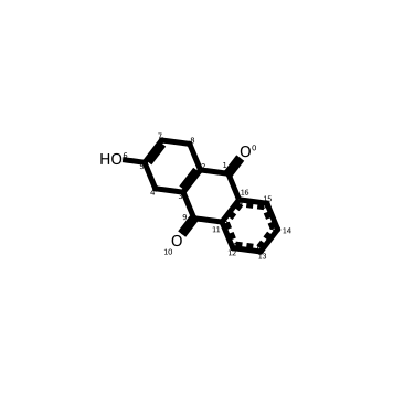 O=C1C2=C(CC(O)=CC2)C(=O)c2ccccc21